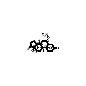 C[C@]12CCC(=O)CC1[C@@H](O[N+](=O)[O-])C[C@@H]1[C@@H]2CC[C@]2(C)C(=O)CC[C@@H]12